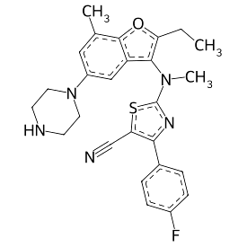 CCc1oc2c(C)cc(N3CCNCC3)cc2c1N(C)c1nc(-c2ccc(F)cc2)c(C#N)s1